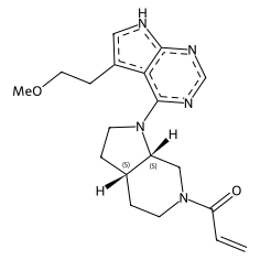 C=CC(=O)N1CC[C@@H]2CCN(c3ncnc4[nH]cc(CCOC)c34)[C@@H]2C1